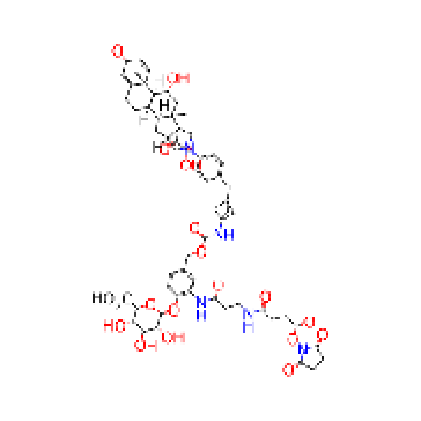 C[C@]12C=CC(=O)C=C1CC[C@@H]1[C@@H]2[C@@H](O)C[C@@]2(C)[C@H]1C[C@H]1CN(c3ccc(CC45CC(NC(=O)OCc6ccc(O[C@@H]7O[C@H](C(=O)O)[C@@H](O)[C@H](O)[C@H]7O)c(NC(=O)CCNC(=O)CCC(=O)ON7C(=O)CCC7=O)c6)(C4)C5)cc3)C[C@]12C(=O)CO